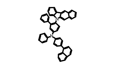 c1ccc(-c2cc(N(c3ccccc3)c3ccc(-c4cccc5ccccc45)cc3)ccc2-n2c3ccccc3c3cc4ccccc4cc32)cc1